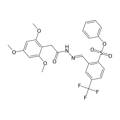 COc1cc(OC)c(CC(=O)NN=Cc2cc(C(F)(F)F)ccc2S(=O)(=O)Oc2ccccc2)c(OC)c1